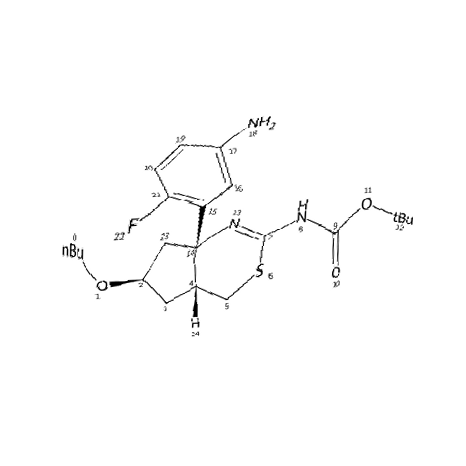 CCCCO[C@@H]1C[C@H]2CSC(NC(=O)OC(C)(C)C)=N[C@@]2(c2cc(N)ccc2F)C1